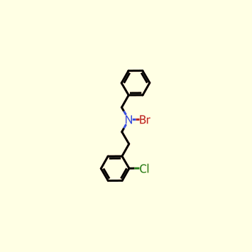 Clc1ccccc1CCN(Br)Cc1ccccc1